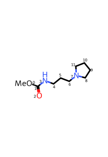 COC(=O)NCCCN1CCCC1